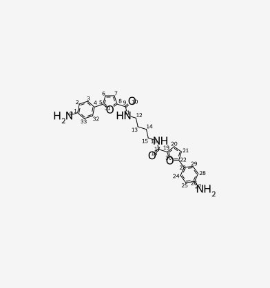 Nc1ccc(-c2ccc(C(=O)NCCCCNC(=O)c3ccc(-c4ccc(N)cc4)o3)o2)cc1